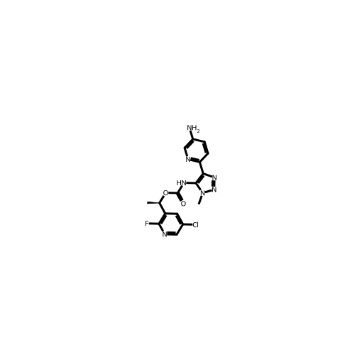 C[C@@H](OC(=O)Nc1c(-c2ccc(N)cn2)nnn1C)c1cc(Cl)cnc1F